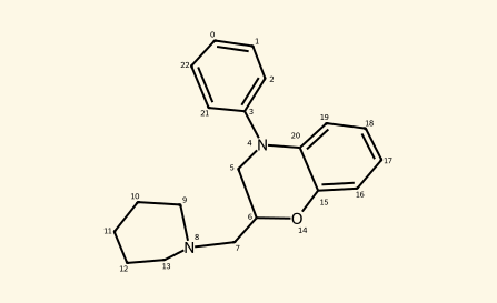 c1ccc(N2CC(CN3CCCCC3)Oc3ccccc32)cc1